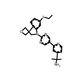 CCSc1ccc2c(c1)N(c1ncc(-c3cc(C(C)(C)N)ccn3)cn1)CC21COC1